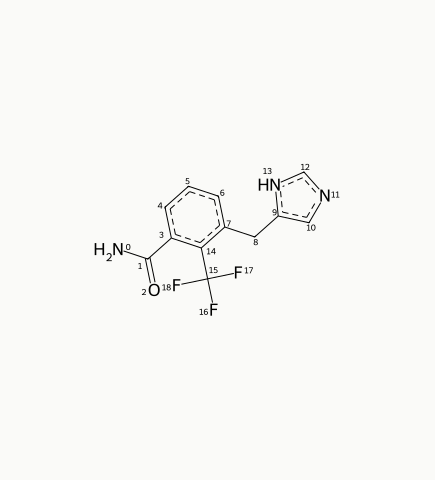 NC(=O)c1cccc(Cc2cnc[nH]2)c1C(F)(F)F